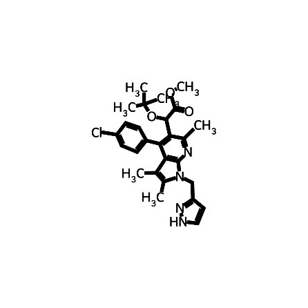 COC(=O)C(OC(C)(C)C)c1c(C)nc2c(c(C)c(C)n2Cc2cc[nH]n2)c1-c1ccc(Cl)cc1